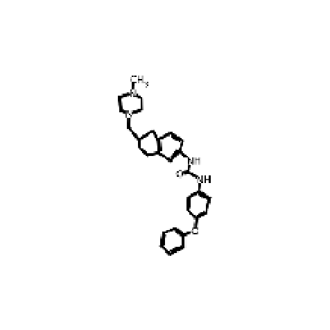 CN1CCN(CC2CCc3cc(NC(=O)Nc4ccc(Oc5ccccc5)cc4)ccc3C2)CC1